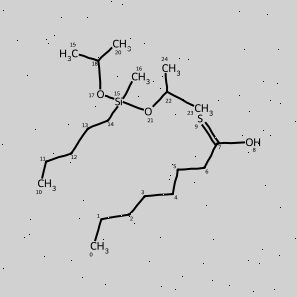 CCCCCCCC(O)=S.CCCCC[Si](C)(OC(C)C)OC(C)C